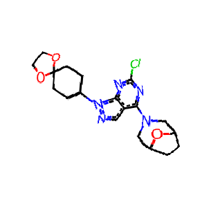 Clc1nc(N2CC3CCC(C2)O3)c2cnn(C3CCC4(CC3)OCCO4)c2n1